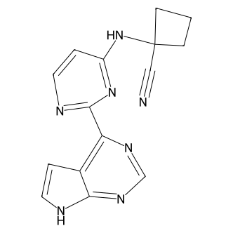 N#CC1(Nc2ccnc(-c3ncnc4[nH]ccc34)n2)CCC1